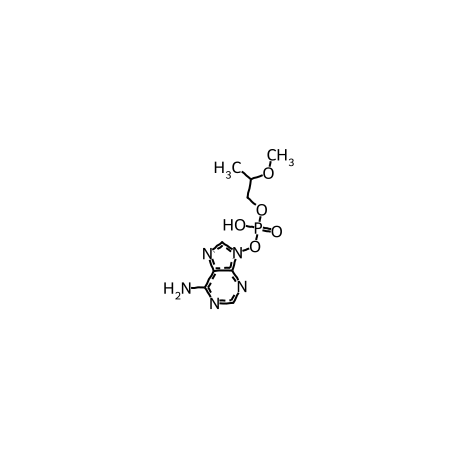 COC(C)COP(=O)(O)On1cnc2c(N)ncnc21